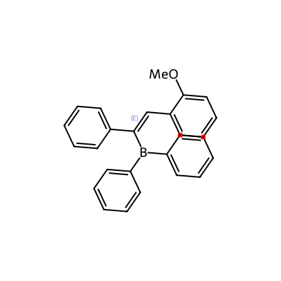 COc1ccccc1/C=C(\B(c1ccccc1)c1ccccc1)c1ccccc1